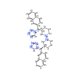 c1ccc2cc(C([C@@H]3CCCN(N4CCC[C@H](C(c5ccc6ccccc6c5)n5cnnn5)C4)C3)n3cnnn3)ccc2c1